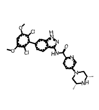 COc1cc(OC)c(Cl)c(-c2ccc3c(NC(=O)c4ccc(N5C[C@@H](C)N[C@@H](C)C5)cn4)n[nH]c3c2)c1Cl